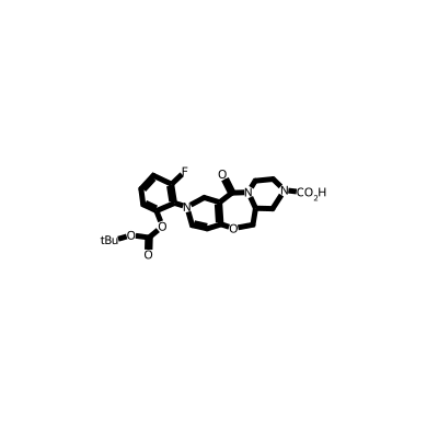 CC(C)(C)OC(=O)Oc1cccc(F)c1N1C=CC2=C(C1)C(=O)N1CCN(C(=O)O)CC1CO2